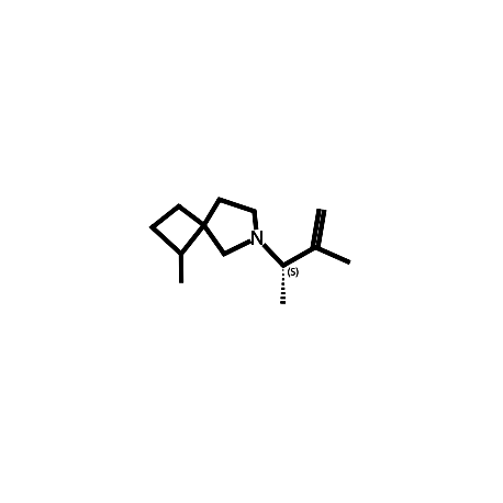 C=C(C)[C@H](C)N1CCC2(CCC2C)C1